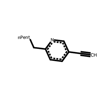 C#Cc1ccc(CCCCCC)nc1